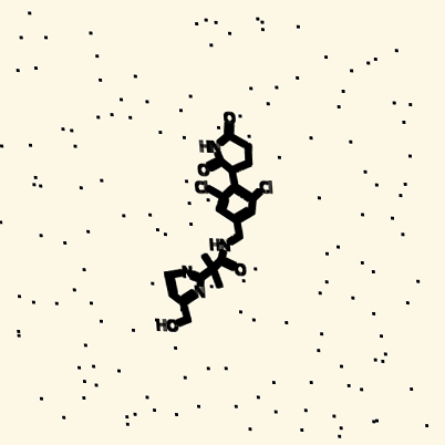 CC(C)(C(=O)NCc1cc(Cl)c(C2CCC(=O)NC2=O)c(Cl)c1)c1nccc(CO)n1